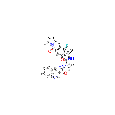 CC1CCC(C)N1C(=O)c1ccc([C@@H](C)NC(=O)C2(NC(=O)c3cnc4ccccc4c3)CC2)c(F)c1